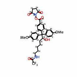 COc1ccc(C(c2ccc(OC)cc2)(c2ccc(C(=O)ON3C(=O)CCC3=O)cc2)C(O)CCCCCNC(=O)C(F)(F)F)cc1